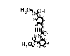 CCOC(O)c1ccc(CNC(=O)Nc2ccccc2C(=O)OC)cc1